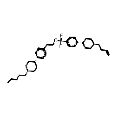 C=CCC[C@H]1CC[C@H](c2ccc(C(F)(F)OCCc3ccc([C@H]4CC[C@H](CCCCC)CC4)cc3)cc2)CC1